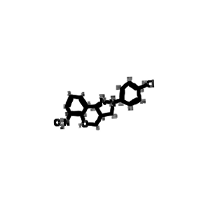 O=[N+]([O-])c1cccc2c1OCC1CN(c3ccc(Cl)cc3)N=C21